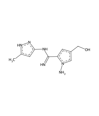 Cc1cc(NC(=N)c2cc(CO)cn2N)n[nH]1